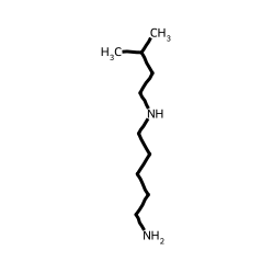 CC(C)CCNCCCCCN